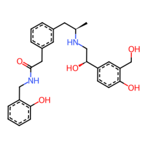 C[C@H](Cc1cccc(CC(=O)NCc2ccccc2O)c1)NC[C@H](O)c1ccc(O)c(CO)c1